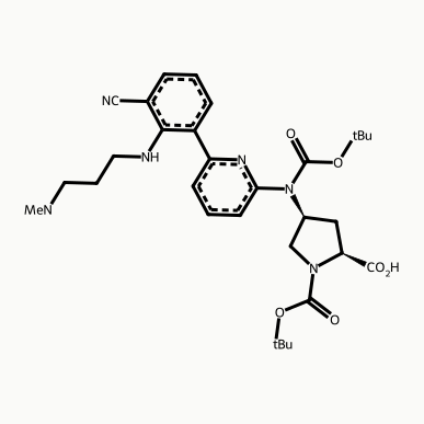 CNCCCNc1c(C#N)cccc1-c1cccc(N(C(=O)OC(C)(C)C)[C@H]2C[C@@H](C(=O)O)N(C(=O)OC(C)(C)C)C2)n1